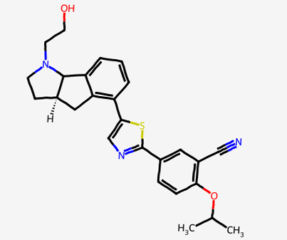 CC(C)Oc1ccc(-c2ncc(-c3cccc4c3C[C@H]3CCN(CCO)C43)s2)cc1C#N